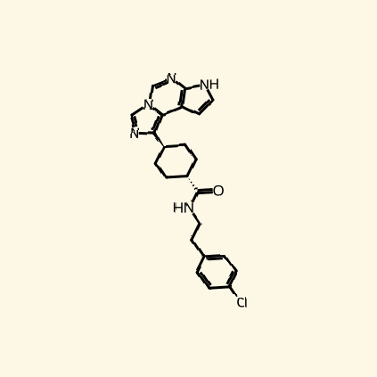 O=C(NCCc1ccc(Cl)cc1)[C@H]1CC[C@H](c2ncn3cnc4[nH]ccc4c23)CC1